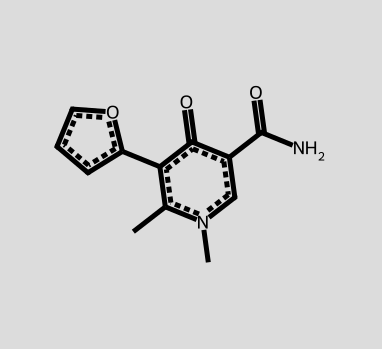 Cc1c(-c2ccco2)c(=O)c(C(N)=O)cn1C